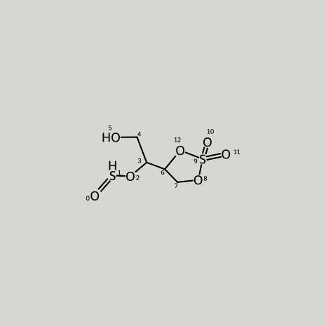 O=[SH]OC(CO)C1COS(=O)(=O)O1